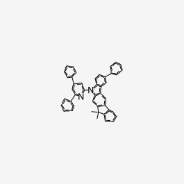 CC1(C)c2ccccc2-c2cc3c4cc(-c5ccccc5)ccc4n(-c4cc(-c5ccccc5)cc(-c5ccccc5)n4)c3cc21